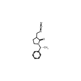 C[C@H](c1ccccc1)N1CCC(CN=[N+]=[N-])C1=O